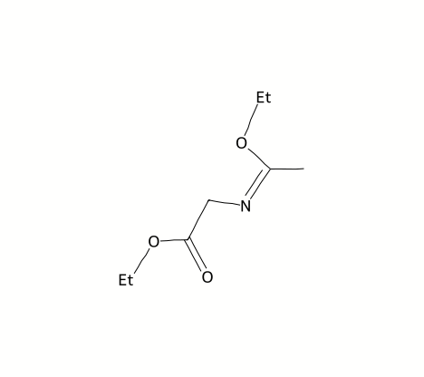 CCOC(=O)CN=C(C)OCC